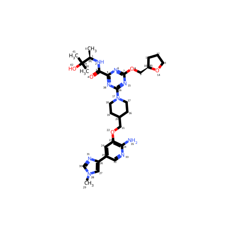 C[C@@H](NC(=O)c1nc(OC[C@H]2CCCO2)nc(N2CCC(COc3cc(-c4cn(C)cn4)cnc3N)CC2)n1)C(C)(C)O